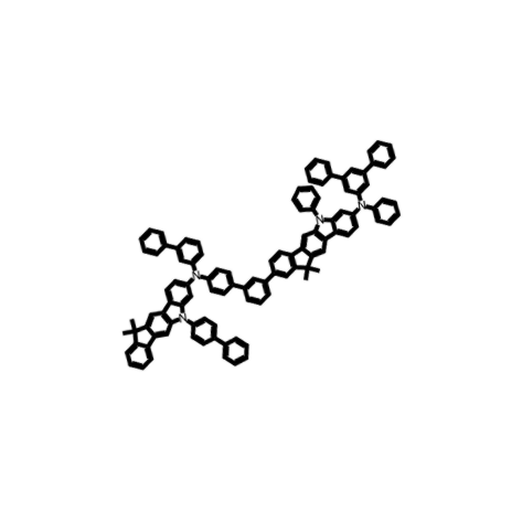 CC1(C)c2ccccc2-c2cc3c(cc21)c1ccc(N(c2ccc(-c4cccc(-c5ccc6c(c5)C(C)(C)c5cc7c8ccc(N(c9ccccc9)c9cc(-c%10ccccc%10)cc(-c%10ccccc%10)c9)cc8n(-c8ccccc8)c7cc5-6)c4)cc2)c2cccc(-c4ccccc4)c2)cc1n3-c1ccc(-c2ccccc2)cc1